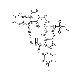 CCS(=O)(=O)Nc1cc2oc(-c3ccc(F)cc3)c(C(=O)NC)c2cc1-c1ccc2c(n1)-c1c(C#N)c3ccccc3n1CO2